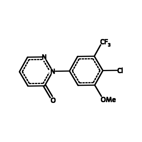 COc1cc(-n2ncccc2=O)cc(C(F)(F)F)c1Cl